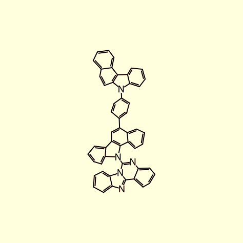 c1ccc2c(c1)ccc1c2c2ccccc2n1-c1ccc(-c2cc3c4ccccc4n(-c4nc5ccccc5c5nc6ccccc6n45)c3c3ccccc23)cc1